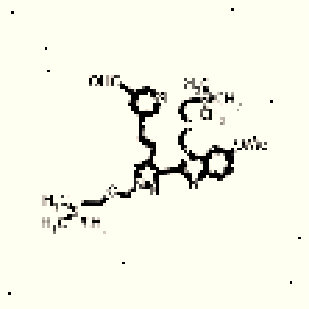 COc1ccc2nc(-c3nn(COCC[Si](C)(C)C)cc3/C=C/c3cncc(C=O)c3)n(COCC[Si](C)(C)C)c2c1